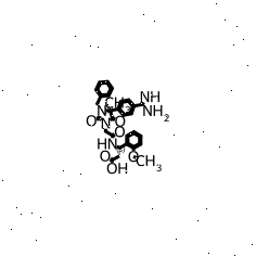 COc1ccccc1[C@H](CC(=O)O)NC(=O)CN1C(=O)N(Cc2ccccc2)[C@@](C)(c2ccc(C(=N)N)cc2)C1=O